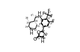 C[C@H](Nc1cc(-c2n[nH]c(=O)o2)cc(F)c1C(F)(F)F)[C@@H]1CCNC[C@@H]1C